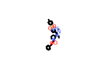 CCN(c1ncnc2c1ccn2S(=O)(=O)c1ccc(C)cc1)[C@H]1CCCN(C(=O)OCc2ccccc2)C1